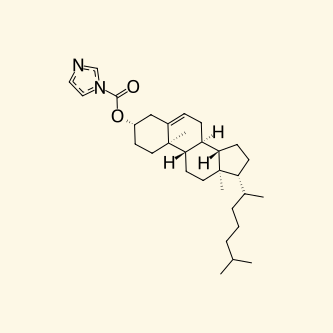 CC(C)CCCC(C)[C@H]1CC[C@H]2[C@@H]3CC=C4C[C@@H](OC(=O)n5ccnc5)CC[C@]4(C)[C@H]3CC[C@]12C